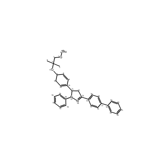 CC(C)(C)OCC(C)(C)OC1C=CC(C2CC(c3ccc(-c4ccccc4)cc3)=NN2c2ccccc2)=CC1